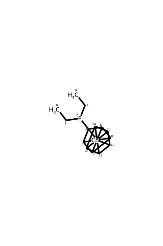 CCP(CC)[C]12[CH]3[CH]4[CH]5[CH]1[Co]45321678[CH]2[CH]1[CH]6[CH]7[CH]28